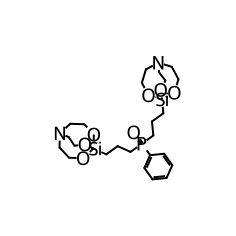 O=P(CCC[Si]12OCCN(CCO1)CCO2)(CCC[Si]12OCCN(CCO1)CCO2)c1ccccc1